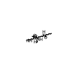 CCCCCC(=O)NCCCCC(NCCC)C(=O)NC(CCCCNC)C(C)=O